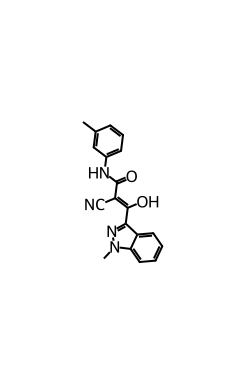 Cc1cccc(NC(=O)/C(C#N)=C(\O)c2nn(C)c3ccccc23)c1